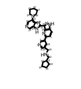 c1ncc(-c2ccc3[nH]nc(-c4nc5c(N6CCCCC6)cncc5[nH]4)c3n2)cc1CNCC1CCCC1